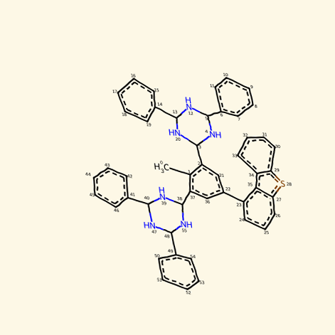 Cc1c(C2NC(c3ccccc3)NC(c3ccccc3)N2)cc(-c2cccc3sc4ccccc4c23)cc1C1NC(c2ccccc2)NC(c2ccccc2)N1